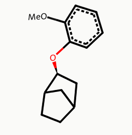 COc1ccccc1O[C@H]1CC2CCC1C2